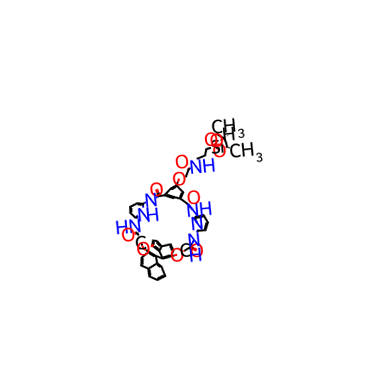 C[C@@H]1O[Si]2(CCCNC(=O)COc3cc4cc(c3)C(=O)Nc3cccc(n3)NC(=O)COc3ccc5ccccc5c3-c3c(ccc5ccccc35)OCC(=O)Nc3cccc(n3)NC4=O)O[C@H]1[C@@H](C)O2